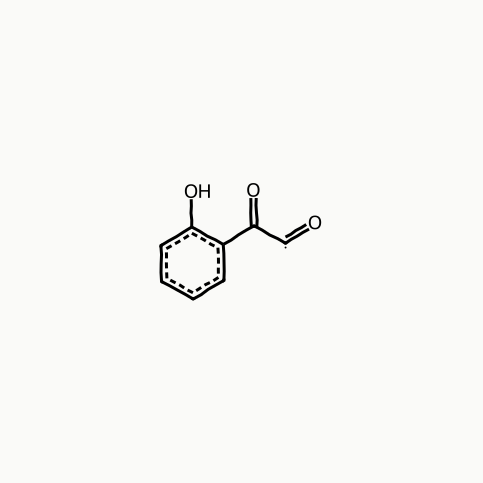 O=[C]C(=O)c1ccccc1O